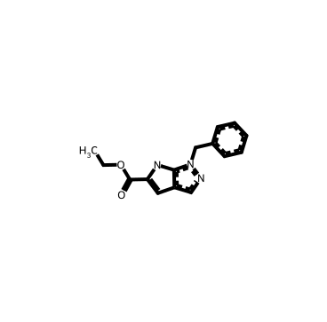 CCOC(=O)C1=Cc2cnn(Cc3ccccc3)c2[N]1